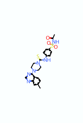 CC(=O)NS(=O)(=O)c1ccc(NC(=S)N2CCN(c3ncnc4cc(C)ccc34)CC2)cc1